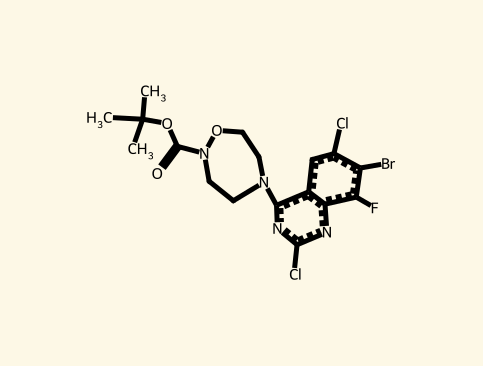 CC(C)(C)OC(=O)N1CCN(c2nc(Cl)nc3c(F)c(Br)c(Cl)cc23)CCO1